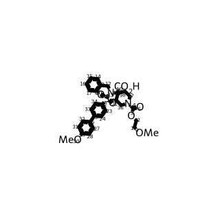 COCCOC(=O)N1CCC(C(=O)O)(N(Cc2ccccc2)S(=O)(=O)c2ccc(-c3ccc(OC)cc3)cc2)CC1